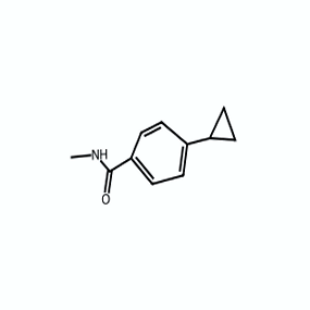 CNC(=O)c1ccc(C2CC2)cc1